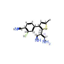 Cc1cc(-c2ccc(C#N)c(F)c2)c(/C(C=N)=C/N)s1